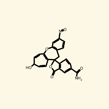 NC(=O)c1ccc2c(c1)C(=O)OC21Cc2ccc(N=O)cc2OC2=C1C=CC(O)C=C2